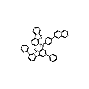 c1ccc(-c2cc(N(c3ccc(-c4ccc5ccccc5c4)cc3)c3cccc4c3sc3ccccc34)c3sc4c(-c5ccccc5)cccc4c3c2)cc1